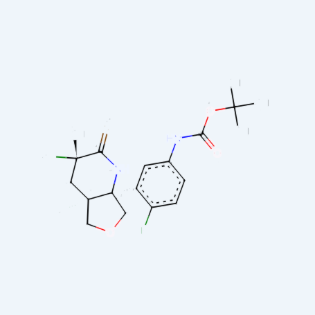 CC(C)(C)OC(=O)Nc1ccc(F)c([C@]23COC[C@@]2(F)C[C@](C)(F)C(=S)N3)c1